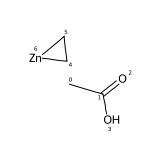 CC(=O)O.[CH2]1[CH2][Zn]1